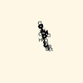 CCS(=O)(=O)c1ccc(CC(=O)Nc2cc(Cl)c(C3(c4noc(-c5ccc(Cl)cc5)n4)CC3)c(Cl)c2)nc1